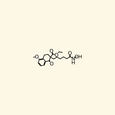 CCOC(=O)C1(CCCCCC(=O)NO)CCc2c(OC)cccc2C1=O